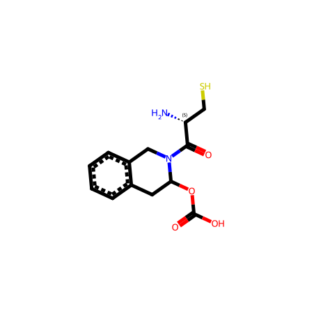 N[C@H](CS)C(=O)N1Cc2ccccc2CC1OC(=O)O